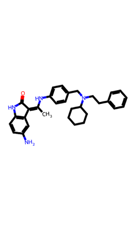 C/C(Nc1ccc(CN(CCc2ccccc2)C2CCCCC2)cc1)=C1/C(=O)Nc2ccc(N)cc21